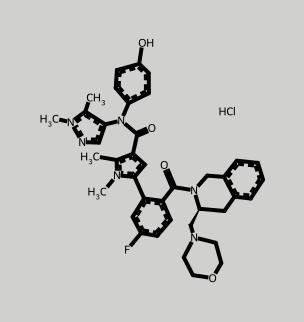 Cc1c(N(C(=O)c2cc(-c3cc(F)ccc3C(=O)N3Cc4ccccc4C[C@H]3CN3CCOCC3)n(C)c2C)c2ccc(O)cc2)cnn1C.Cl